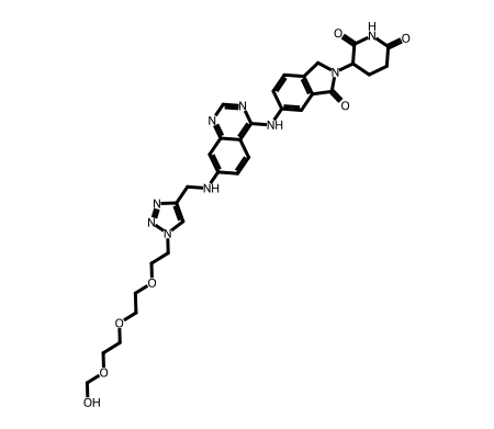 O=C1CCC(N2Cc3ccc(Nc4ncnc5cc(NCc6cn(CCOCCOCCOCO)nn6)ccc45)cc3C2=O)C(=O)N1